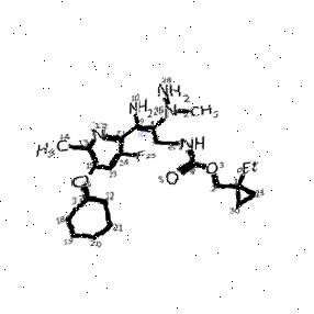 CCC1(COC(=O)NC/C(=C(/N)c2nc(C)c(OC3CCCCC3)cc2F)N(C)N)CC1